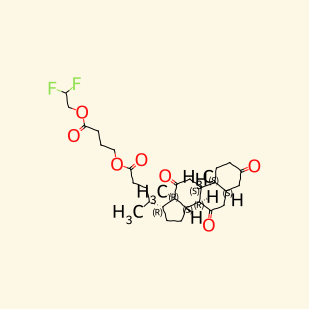 CC(CCC(=O)OCCCC(=O)OCC(F)F)[C@H]1CC[C@H]2[C@@H]3C(=O)C[C@@H]4CC(=O)CC[C@]4(C)[C@H]3CC(=O)[C@]12C